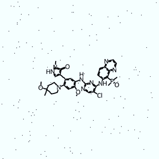 COc1cc(N2CCC(C)(OC)CC2)c(-c2c[nH]n(C)c2=O)cc1Nc1ncc(Cl)c(Nc2ccc3nccnc3c2P(C)(C)=O)n1